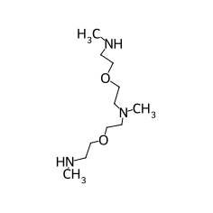 CNCCOCCN(C)CCOCCNC